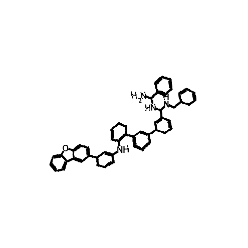 NC(NC(NCC1C=CC=CC1)C1=CC(C2=CC(C3=C(NC4=CC(c5ccc6oc7ccccc7c6c5)CC=C4)C=CCC3)=CCC2)CC=C1)c1ccccc1